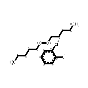 CCCCCOOCCCCC.Clc1ccccc1Cl